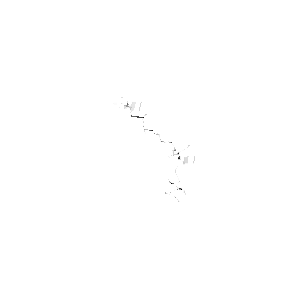 CN(C)S(=O)(=O)CCNC(C)(C)CCOCCCNC(C)(C)C